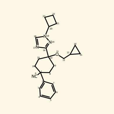 N#CC1(c2ccccc2)CCC(OCC2CC2)(c2ncn(C3CCC3)n2)CC1